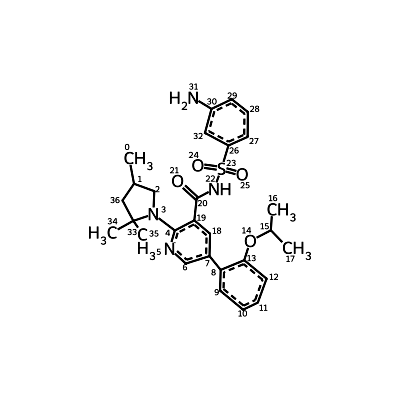 CC1CN(c2ncc(-c3ccccc3OC(C)C)cc2C(=O)NS(=O)(=O)c2cccc(N)c2)C(C)(C)C1